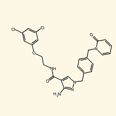 Nc1nn(Cc2ccc(Cn3ccccc3=O)cc2)cc1C(=O)NCCOc1cc(Cl)cc(Cl)c1